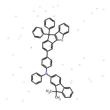 CC1(C)c2ccccc2-c2ccc(N(c3ccccc3)c3ccc(-c4ccc5c(c4)-c4sc6ccccc6c4C5(c4ccccc4)c4ccccc4)cc3)cc21